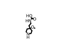 COC1(CCNC(=O)O)CCNCC1